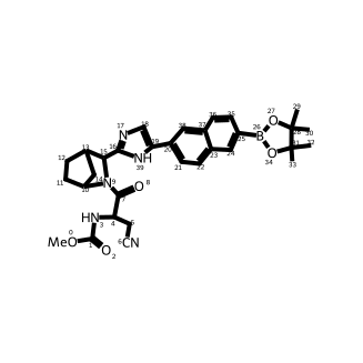 COC(=O)NC(CC#N)C(=O)N1C2CCC(C2)C1c1ncc(-c2ccc3cc(B4OC(C)(C)C(C)(C)O4)ccc3c2)[nH]1